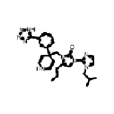 CCCc1cn(-c2nccn2CC(C)C)c(=O)n1CC1(c2cccc(-c3nnn[nH]3)c2)C=CNC=C1